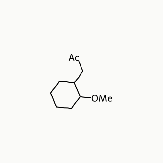 COC1CCCCC1CC(C)=O